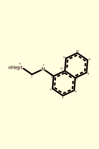 CCCCCCCC[N]c1cccc2ccccc12